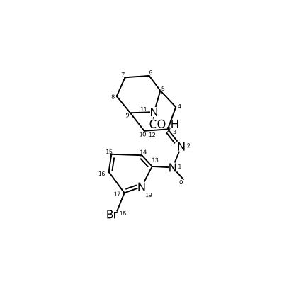 CN(N=C1CC2CCCC(C1)N2C(=O)O)c1cccc(Br)n1